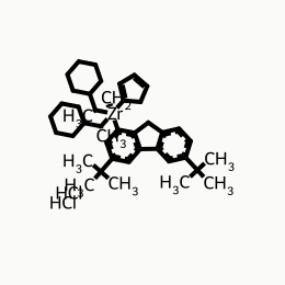 Cl.Cl.[CH2]=[Zr]([C]1=CC=CC1)([c]1cc(C(C)(C)C)cc2c1Cc1ccc(C(C)(C)C)cc1-2)([CH](C)C1CCCCC1)[CH](C)C1CCCCC1